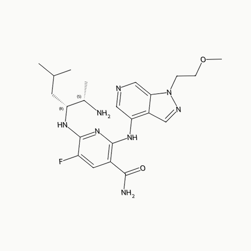 COCCn1ncc2c(Nc3nc(N[C@H](CC(C)C)[C@H](C)N)c(F)cc3C(N)=O)cncc21